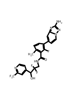 Cc1ccc(-c2ccn3nc(N)nc3c2)c(F)c1C(=O)NCC(F)(F)C(O)c1ccnc(C(F)(F)F)c1